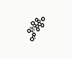 c1ccc(-n2c3ccccc3c3c4c(c5ccccc5c32)c2ccccc2c2c4c3ccccc3n2-c2nc(-c3ccc4sc5ccccc5c4c3)c3ccccc3n2)cc1